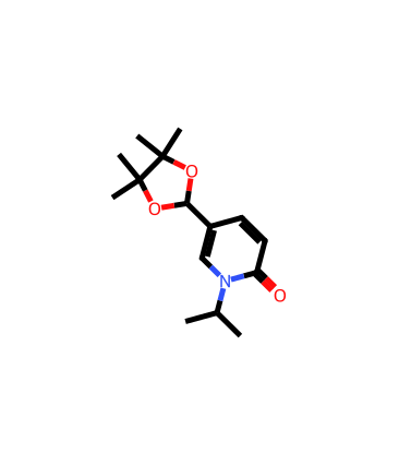 CC(C)n1cc(C2OC(C)(C)C(C)(C)O2)ccc1=O